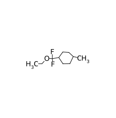 CCOC(F)(F)C1CCC(C)CC1